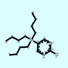 CCC[CH2][Sn]([CH2]CCC)([CH2]CCC)[c]1cnc(Cl)nc1